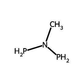 CN(P)P